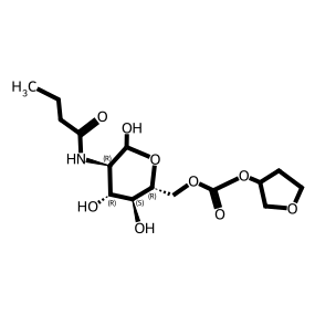 CCCC(=O)N[C@H]1C(O)O[C@H](COC(=O)OC2CCOC2)[C@@H](O)[C@@H]1O